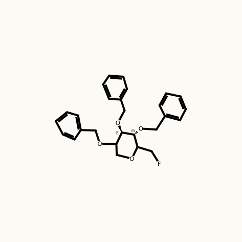 FCC1OCC(OCc2ccccc2)[C@@H](OCc2ccccc2)[C@@H]1OCc1ccccc1